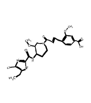 CCc1[nH]c(C(=O)NC2CCN(C(=O)C=Cc3ccc(C(=O)O)cc3OC)CC2OC)nc1Cl